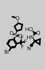 CO[C@@H]1CC[C@@H](S(=O)(=O)c2ccc(Br)cc2C(F)(F)F)C1.N#CC1(NC(=O)O)CC1